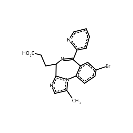 Cc1cnc2n1-c1ccc(Br)cc1C(c1ccccn1)=NC2CCC(=O)O